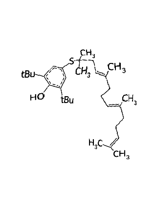 CC(C)=CCC/C(C)=C/CC/C(C)=C/CC(C)(C)Sc1cc(C(C)(C)C)c(O)c(C(C)(C)C)c1